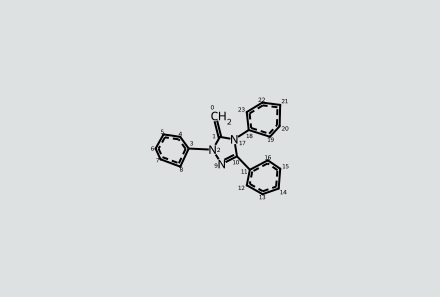 C=C1N(c2ccccc2)N=C(c2ccccc2)N1c1ccccc1